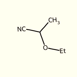 CCOC(C)C#N